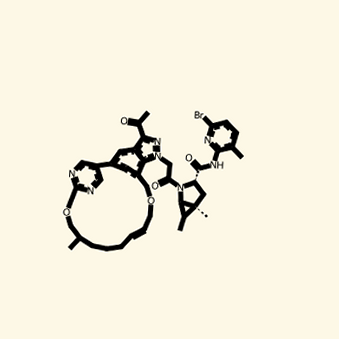 CC(=O)c1nn(CC(=O)N2C3C(C)[C@]3(C)C[C@H]2C(=O)Nc2nc(Br)ccc2C)c2c3cc(cc12)-c1cnc(nc1)OCC(C)CCC/C=C/COC3